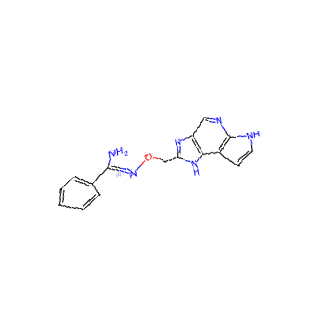 N/C(=N\OCc1nc2cnc3[nH]ccc3c2[nH]1)c1ccccc1